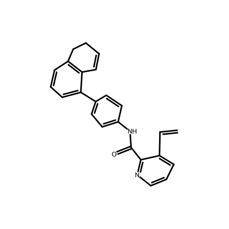 C=Cc1cccnc1C(=O)Nc1ccc(-c2cccc3c2C=CCC3)cc1